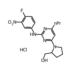 CCCc1cc(N2CCCC2CO)nc(Nc2ccc(F)c([N+](=O)[O-])c2)n1.Cl